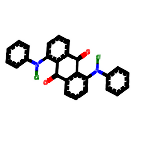 O=C1c2cccc(N(Cl)c3ccccc3)c2C(=O)c2cccc(N(Cl)c3ccccc3)c21